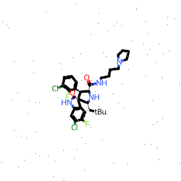 CC(C)(C)C[C@H]1N[C@@H](C(=O)NCCCCN2CCCC2)[C@H](c2cccc(Cl)c2F)[C@@]12C(=O)Nc1cc(Cl)c(F)cc12